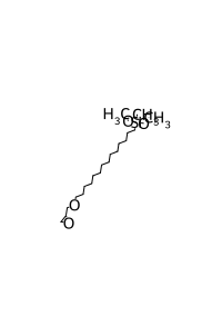 CO[Si](C)(CCCCCCCCCCCCCCOCC1CO1)OC